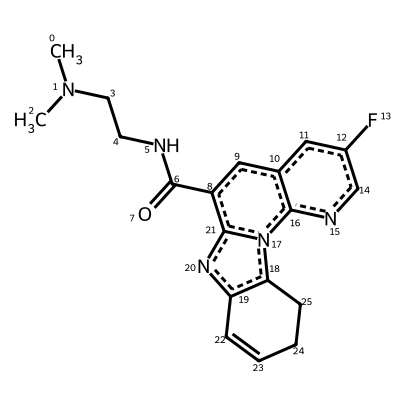 CN(C)CCNC(=O)c1cc2cc(F)cnc2n2c3c(nc12)C=CCC3